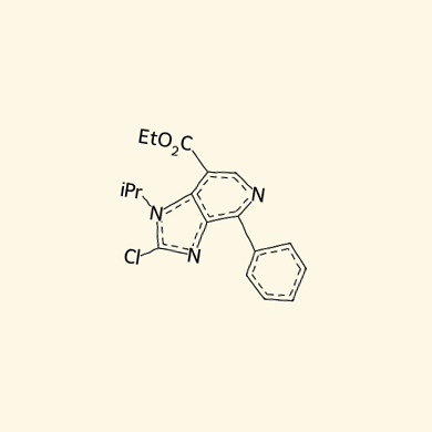 CCOC(=O)c1cnc(-c2ccccc2)c2nc(Cl)n(C(C)C)c12